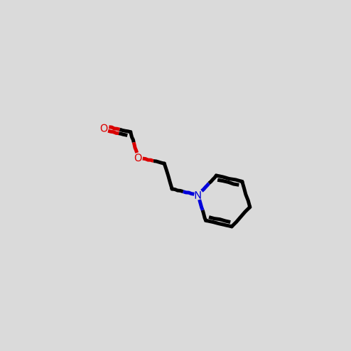 O=COCCN1C=CCC=C1